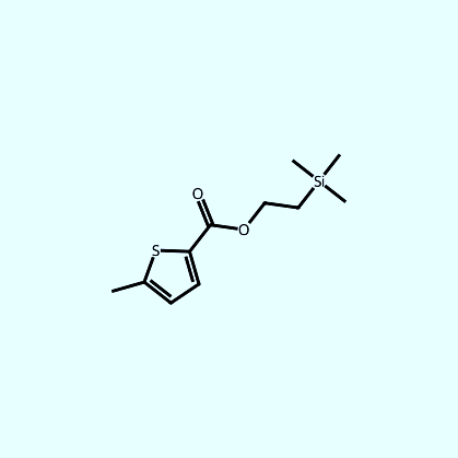 Cc1ccc(C(=O)OCC[Si](C)(C)C)s1